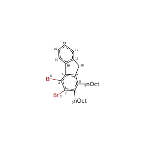 CCCCCCCCc1c(Br)c(Br)c2c(c1CCCCCCCC)Cc1ccccc1-2